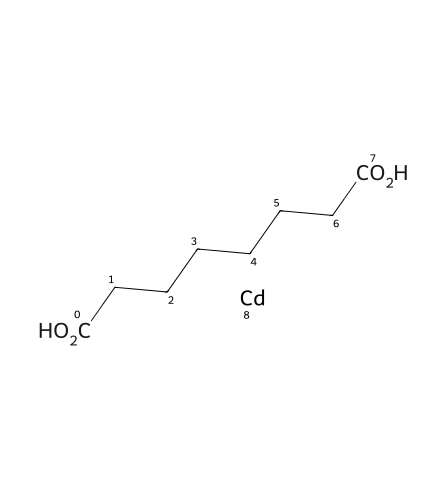 O=C(O)CCCCCCC(=O)O.[Cd]